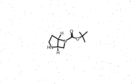 CC(C)(C)OC(=O)N1C[C@@H]2NCC[C@@H]21